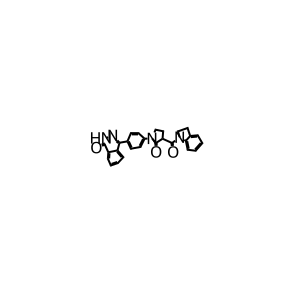 O=C1C(C(=O)N2CCc3ccccc32)CCN1c1ccc(-c2n[nH]c(=O)c3ccccc23)cc1